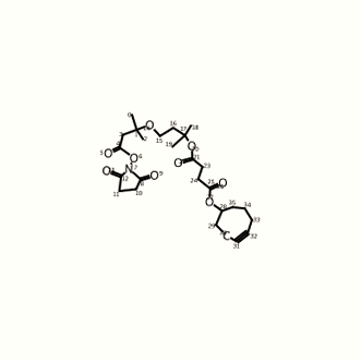 CC(C)(CC(=O)ON1C(=O)CCC1=O)OCCC(C)(C)OC(=O)CCC(=O)OC1CCC#CCCC1